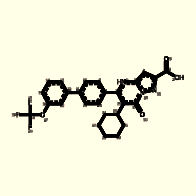 O=C(O)c1cc2[nH]c(-c3ccc(-c4cccc(OC(F)(F)F)c4)cc3)c(C3CCCCC3)c(=O)n2n1